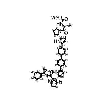 COC(=O)N[C@H](C(=O)N1CCC[C@H]1c1ncc(-c2ccc(-c3ccc(-c4cnc([C@@H]5[C@H]6CC[C@H](C6)[C@H]5C(=O)NC5(c6ccccc6)CC5)[nH]4)cc3)cc2)[nH]1)C(C)C